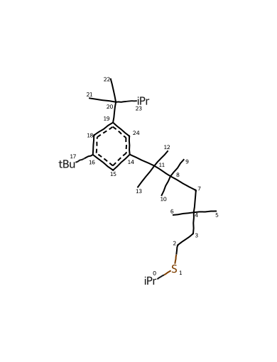 CC(C)SCCC(C)(C)CC(C)(C)C(C)(C)c1cc(C(C)(C)C)cc(C(C)(C)C(C)C)c1